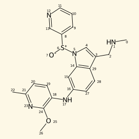 CNCc1cn([S+]([O-])c2cccnc2)c2cc(Nc3ccc(C)nc3OC)ccc12